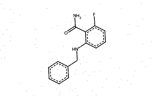 NC(=O)c1c(F)cccc1NCc1ccccc1